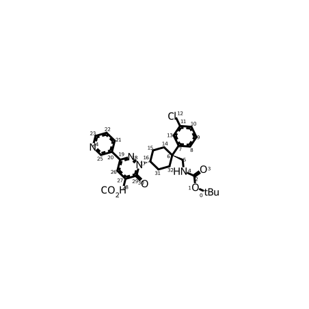 CC(C)(C)OC(=O)NC[C@]1(c2cccc(Cl)c2)CC[C@@H](n2nc(-c3cccnc3)cc(C(=O)O)c2=O)CC1